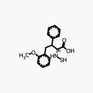 COc1ccccc1CC(c1ccccc1)[C@@H](NS)C(=O)O